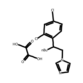 CCCCC(Cn1ccnc1)c1ccc(Cl)cc1Cl.O=C(O)C(=O)O